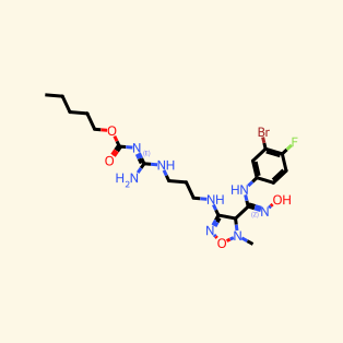 CCCCCOC(=O)/N=C(\N)NCCCNC1=NON(C)C1/C(=N/O)Nc1ccc(F)c(Br)c1